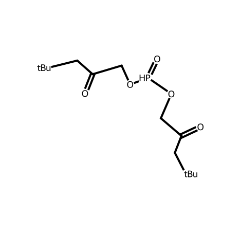 CC(C)(C)CC(=O)CO[PH](=O)OCC(=O)CC(C)(C)C